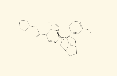 C=CCN1CCC2CCC(C1)N2C(C1=CCC(C(=O)NN2CCCC2)C=C1)C1=CC(OC)=CCC1